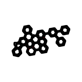 c1ccc(-c2ccc(-c3ccc(N(c4ccccc4-c4ccc5c(c4)oc4ccccc45)c4ccccc4-c4cccc5cccc(C6CCCCC6)c45)cc3)cc2-c2ccccc2)cc1